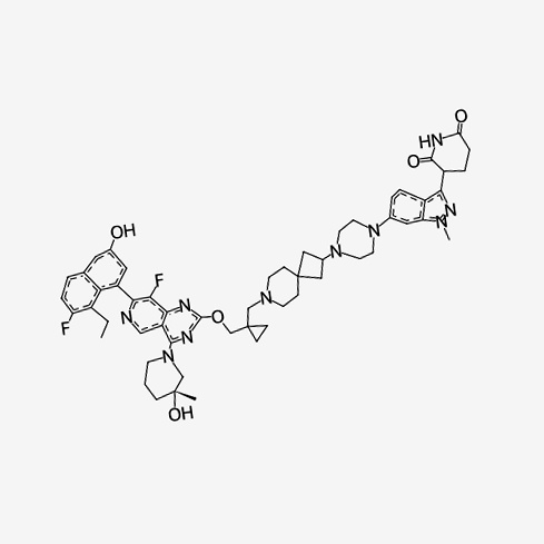 CCc1c(F)ccc2cc(O)cc(-c3ncc4c(N5CCC[C@@](C)(O)C5)nc(OCC5(CN6CCC7(CC6)CC(N6CCN(c8ccc9c(C%10CCC(=O)NC%10=O)nn(C)c9c8)CC6)C7)CC5)nc4c3F)c12